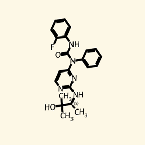 C[C@H](Nc1nccc(N(C(=O)Nc2ccccc2F)c2ccccc2)n1)C(C)(C)O